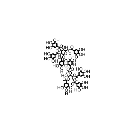 O=C(OCC1O[C@@H](OC(=O)c2cc(O)c(O)c(Oc3c(C(=O)O[C@@H](CO)OC(COC(=O)c4cc(O)c(O)c(O)c4)[C@H](COC(=O)c4cc(O)c(O)c(O)c4)OC(=O)c4cc(O)c(O)c(O)c4)cc(O)c(O)c3O)c2)C(OC(=O)c2cc(O)c(O)c(O)c2)C(OC(=O)c2cc(O)c(O)c(O)c2)[C@@H]1O)c1cc(O)c(O)c(O)c1